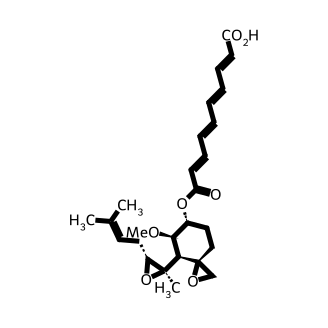 CO[C@H]1[C@H](OC(=O)/C=C/C=C/C=C/C=C/C(=O)O)CC[C@]2(CO2)[C@H]1[C@@]1(C)O[C@@H]1CC=C(C)C